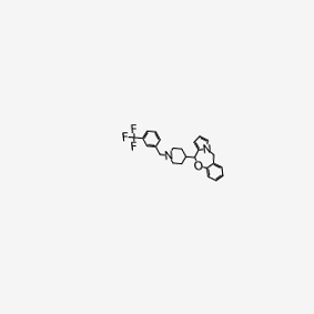 FC(F)(F)c1cccc(CN2CCC(C3Oc4ccccc4Cn4cccc43)CC2)c1